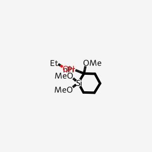 CCCC1(OC)CCCC[Si]1(OC)OC.CCO